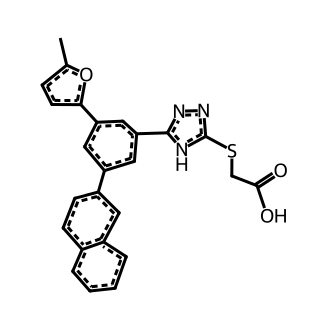 Cc1ccc(-c2cc(-c3ccc4ccccc4c3)cc(-c3nnc(SCC(=O)O)[nH]3)c2)o1